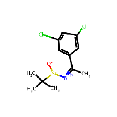 C/C(=N/[S+]([O-])C(C)(C)C)c1cc(Cl)cc(Cl)c1